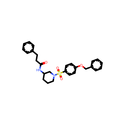 O=C(CCc1ccccc1)NC1CCCN(S(=O)(=O)c2ccc(OCc3ccccc3)cc2)C1